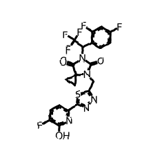 O=C1N(C(c2ccc(F)cc2F)C(F)(F)F)C(=O)C2(CC2)N1Cc1nnc(-c2ccc(F)c(O)n2)s1